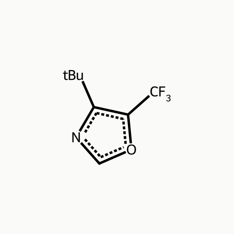 CC(C)(C)c1ncoc1C(F)(F)F